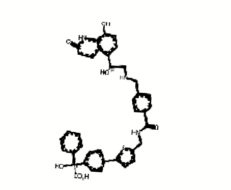 O=C(NCc1ccc(-c2ccc([C@](O)(C(=O)O)c3ccccc3)cc2)s1)c1ccc(CNC[C@H](O)c2ccc(O)c3[nH]c(=O)ccc23)cc1